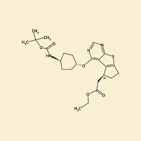 CCOC(=O)C[C@@H]1CCc2sc3ncnc(O[C@H]4CC[C@H](NC(=O)OC(C)(C)C)CC4)c3c21